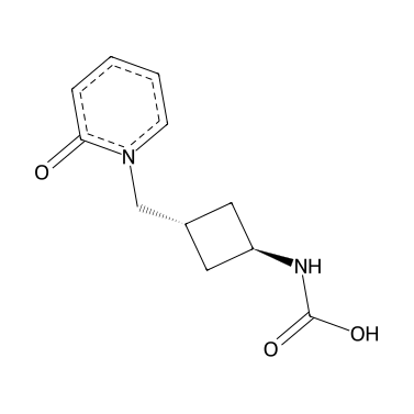 O=C(O)N[C@H]1C[C@H](Cn2ccccc2=O)C1